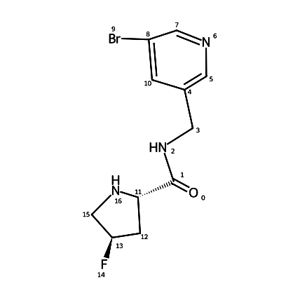 O=C(NCc1cncc(Br)c1)[C@@H]1C[C@@H](F)CN1